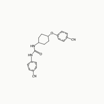 N#Cc1ccc(NC(=O)NC2CCC(Oc3ccc(C#N)cc3)CC2)cc1